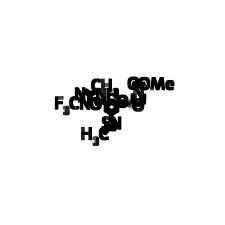 COC(=O)N1CCO[C@H](COc2cc(C(=O)NC(C)c3cnc(C(F)(F)F)nc3)cc(-c3ncc(C)s3)c2)C1